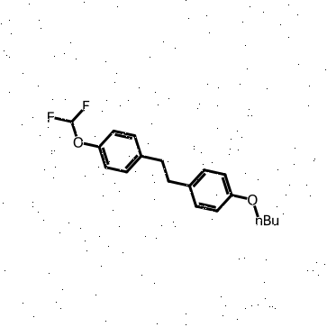 CCCCOc1ccc(CCc2ccc(OC(F)F)cc2)cc1